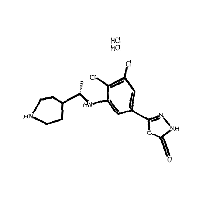 C[C@H](Nc1cc(-c2n[nH]c(=O)o2)cc(Cl)c1Cl)C1CCNCC1.Cl.Cl